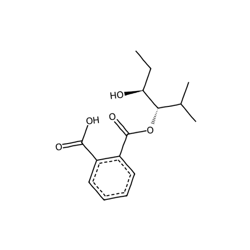 CC[C@H](O)[C@@H](OC(=O)c1ccccc1C(=O)O)C(C)C